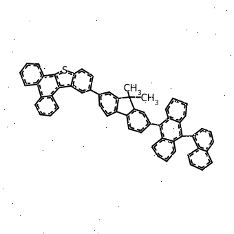 CC1(C)c2cc(-c3ccc4sc5c6ccccc6c6ccccc6c5c4c3)ccc2-c2ccc(-c3c4ccccc4c(-c4cccc5ccccc45)c4ccccc34)cc21